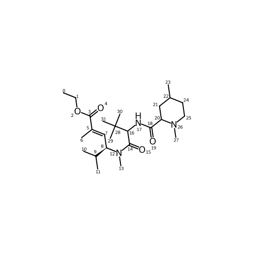 CCOC(=O)/C(C)=C/[C@H](C(C)C)N(C)C(=O)C(NC(=O)C1CC(C)CCN1C)C(C)(C)C